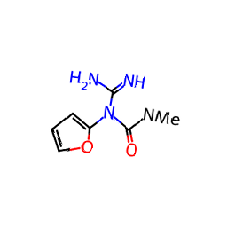 CNC(=O)N(C(=N)N)c1ccco1